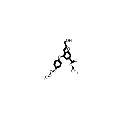 CCOC(=O)c1cc(Oc2ccc(SOOC)cc2)c2cc(CO)oc2c1